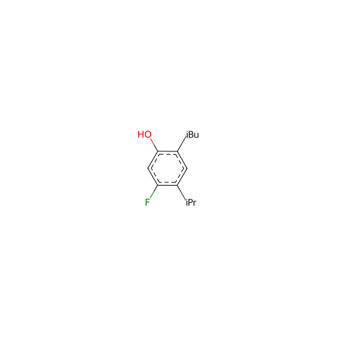 CCC(C)c1cc(C(C)C)c(F)cc1O